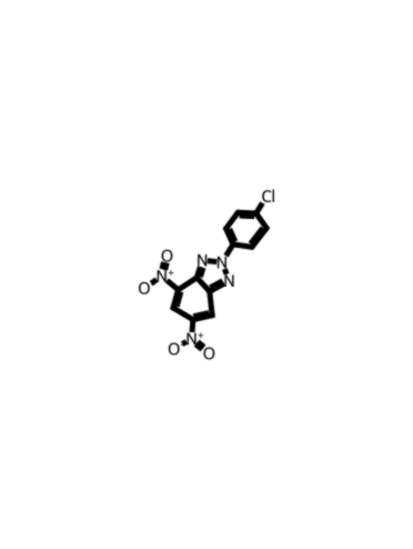 O=[N+]([O-])c1cc([N+](=O)[O-])c2nn(-c3ccc(Cl)cc3)nc2c1